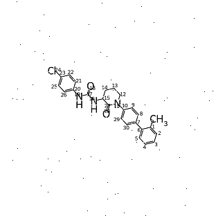 Cc1ccccc1-c1ccc(N2CCCC(NC(=O)Nc3ccc(Cl)cc3)C2=O)cc1